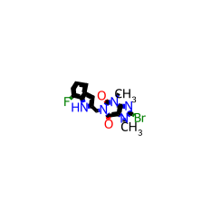 Cn1c(Br)nc2c1c(=O)n(Cc1cc3cccc(F)c3[nH]1)c(=O)n2C